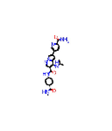 CNC(=O)[C@H]1CC[C@H](NC(=O)c2cnn3cc(-c4ccc(C(N)=O)nc4)cc3c2NC(C)C)CC1